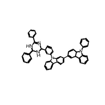 C1=CC2C(C=C1c1ccc3c4ccccc4n(-c4cccc(C5N=C(c6ccccc6)NC(c6ccccc6)N5)c4)c3c1)c1ccccc1N2c1ccccc1